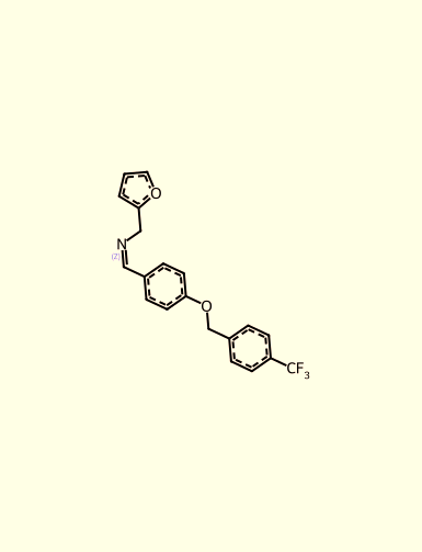 FC(F)(F)c1ccc(COc2ccc(/C=N\Cc3ccco3)cc2)cc1